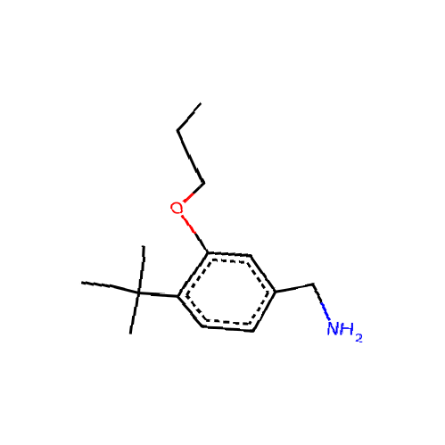 CCCOc1cc(CN)ccc1C(C)(C)C